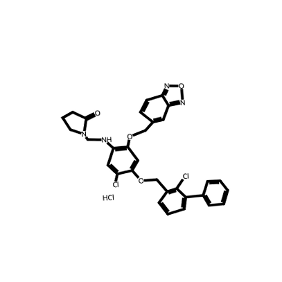 Cl.O=C1CCCN1CNc1cc(Cl)c(OCc2cccc(-c3ccccc3)c2Cl)cc1OCc1ccc2nonc2c1